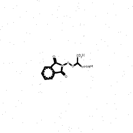 CCCCCCCC(OON1C(=O)c2ccccc2C1=O)C(=O)O